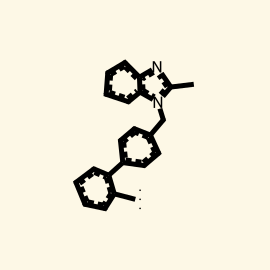 [C]c1ccccc1-c1ccc(Cn2c(C)nc3ccccc32)cc1